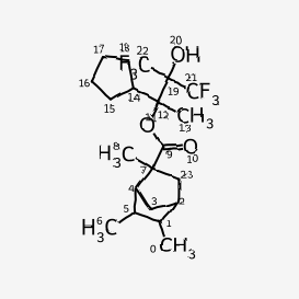 CC1C2CC(C1C)C(C)(C(=O)OC(C)(C1CCCC1)C(O)(C(F)(F)F)C(F)(F)F)C2